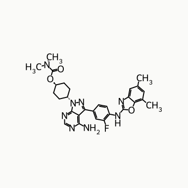 Cc1cc(C)c2oc(Nc3ccc(-c4nn([C@H]5CC[C@H](OC(=O)N(C)C)CC5)c5ncnc(N)c45)cc3F)nc2c1